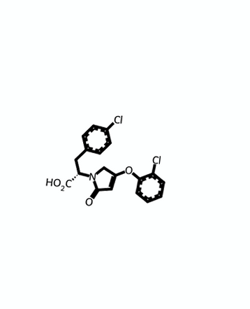 O=C(O)[C@H](Cc1ccc(Cl)cc1)N1CC(Oc2ccccc2Cl)=CC1=O